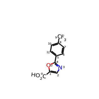 O=C(O)c1cnc(-c2ccc(C(F)(F)F)cc2)o1